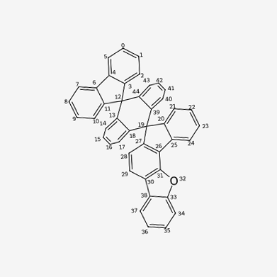 c1ccc2c(c1)-c1ccccc1C21c2ccccc2C2(c3ccccc3-c3c2ccc2c3oc3ccccc32)c2ccccc21